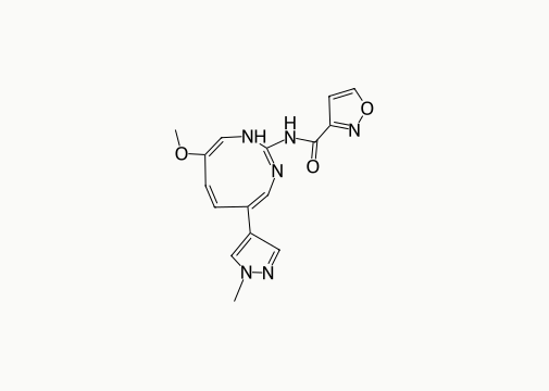 COc1ccc(-c2cnn(C)c2)cnc(NC(=O)c2ccon2)[nH]c1